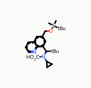 CC(C)(C)C(c1cc(CO[Si](C)(C)C(C)(C)C)cc2cccnc12)N(C(=O)O)C1CC1